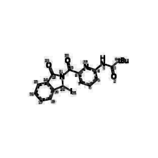 CC(C)(C)C(=O)Nc1cccc(C(=O)N2C(=O)c3ccccc3C2I)n1